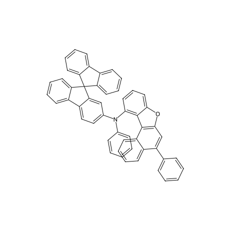 c1ccc(-c2cc3oc4cccc(N(c5ccccc5)c5ccc6c(c5)C5(c7ccccc7-c7ccccc75)c5ccccc5-6)c4c3c3ccccc23)cc1